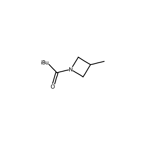 CCC(C)C(=O)N1CC(C)C1